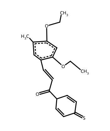 CCOc1cc(OCC)c(/C=C/C(=O)C2C=CC(=S)C=C2)cc1C